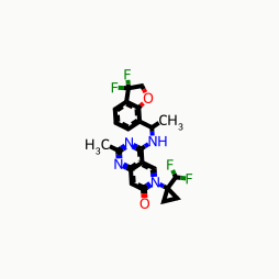 Cc1nc(NC(C)c2cccc3c2OCC3(F)F)c2cn(C3(C(F)F)CC3)c(=O)cc2n1